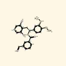 COc1ccc([C@H](Cc2c(Cl)cncc2Cl)OC(=O)c2cccc(C=O)c2)cc1OC